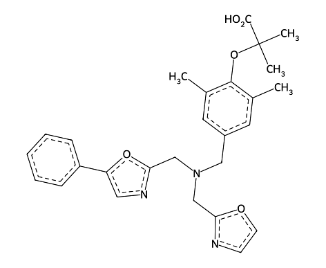 Cc1cc(CN(Cc2ncco2)Cc2ncc(-c3ccccc3)o2)cc(C)c1OC(C)(C)C(=O)O